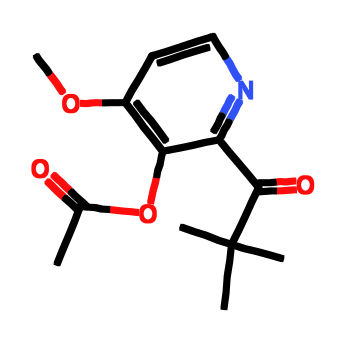 COc1ccnc(C(=O)C(C)(C)C)c1OC(C)=O